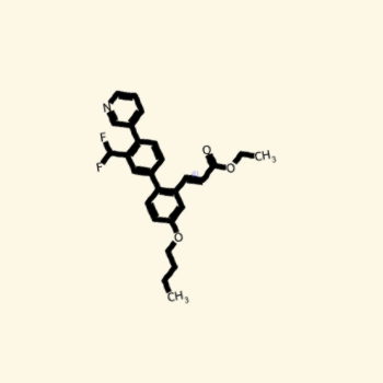 CCCCOc1ccc(-c2ccc(-c3cccnc3)c(C(F)F)c2)c(/C=C/C(=O)OCC)c1